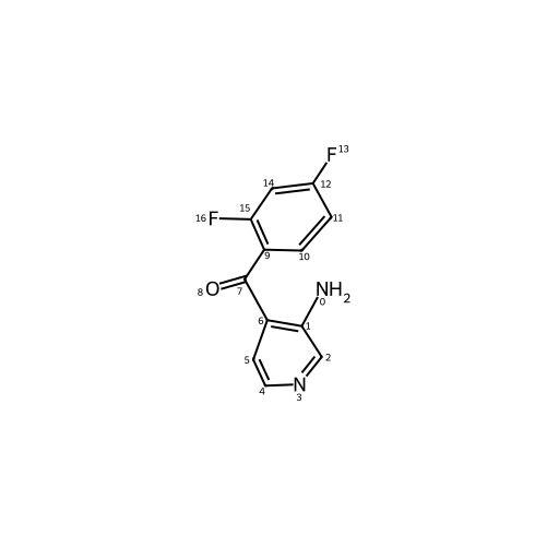 Nc1cnccc1C(=O)c1ccc(F)cc1F